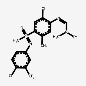 CCN(C)/C=N\c1cc(C)c(S(C)(=O)=Nc2ccc(Cl)c(C(F)(F)F)c2)cc1Cl